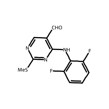 CSc1ncc(C=O)c(Nc2c(F)cccc2F)n1